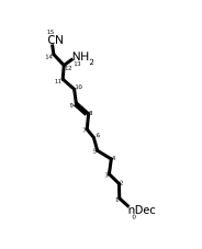 CCCCCCCCCCCCCCCCCC=CCCC(N)CC#N